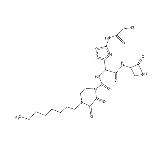 CCCCCCCCN1CCN(C(=O)NC(C(=O)NC2CNC2=O)c2csc(NC(=O)CCl)n2)C(=O)C1=O